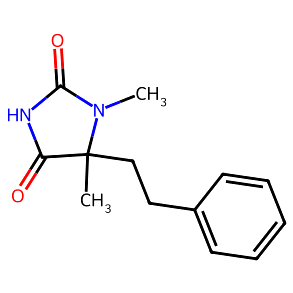 CN1C(=O)NC(=O)C1(C)CCc1ccccc1